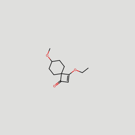 CCOC1=CC(=O)C12CCC(OC)CC2